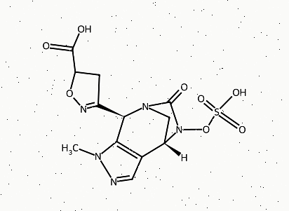 Cn1ncc2c1[C@@H](C1=NOC(C(=O)O)C1)N1C[C@@H]2N(OS(=O)(=O)O)C1=O